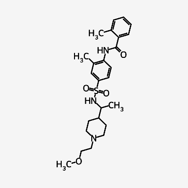 COCCN1CCC(C(C)NS(=O)(=O)c2ccc(NC(=O)c3ccccc3C)c(C)c2)CC1